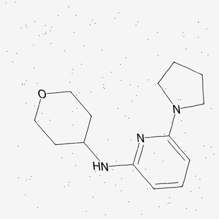 c1cc(NC2CCOCC2)nc(N2CCCC2)c1